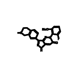 COc1cccc(F)c1-n1nc2c(-c3ccc4c(c3)CN(C)CC4)n[nH]c2cc1=O